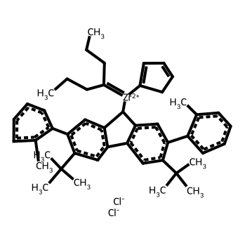 CCC[C](CCC)=[Zr+2]([C]1=CC=CC1)[CH]1c2cc(-c3ccccc3C)c(C(C)(C)C)cc2-c2cc(C(C)(C)C)c(-c3ccccc3C)cc21.[Cl-].[Cl-]